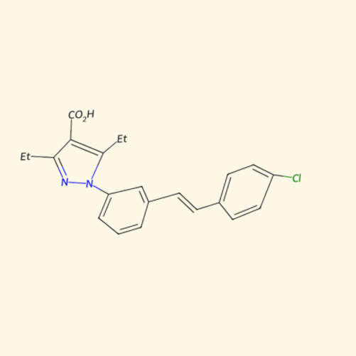 CCc1nn(-c2cccc(C=Cc3ccc(Cl)cc3)c2)c(CC)c1C(=O)O